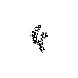 CN1CCN(c2nc(/C=C/c3ccccc3)nc(Nc3ccc(NC(=O)Nc4ccc(Cl)cc4)cc3)n2)CC1